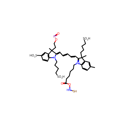 Cc1ccc2c(c1)C(C)(CCCCS(=O)(=O)O)C(/C=C/C=C/C=C1\N(CCCCS(=O)(=O)O)c3ccc(S(=O)(=O)O)cc3C1(C)CCOP=O)=[N+]2CCCCCC(=O)ONS